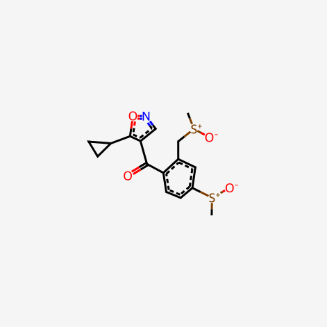 C[S+]([O-])Cc1cc([S+](C)[O-])ccc1C(=O)c1cnoc1C1CC1